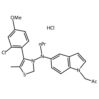 CCCN(c1ccc2c(ccn2CC(C)=O)c1)N1CSC(C)=C1c1ccc(OC)cc1Cl.Cl